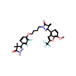 C=C1C(=O)N(CCCCOc2ccc(C3=NNC(=O)C3(C)C)c(F)c2F)N=C1c1ccc(OC)c2oc(C(F)(F)F)cc12